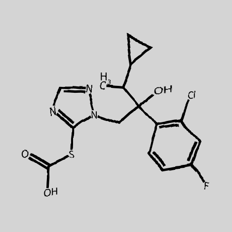 CC(C1CC1)C(O)(Cn1ncnc1SC(=O)O)c1ccc(F)cc1Cl